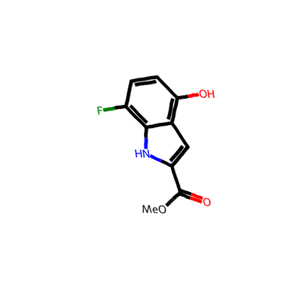 COC(=O)c1cc2c(O)ccc(F)c2[nH]1